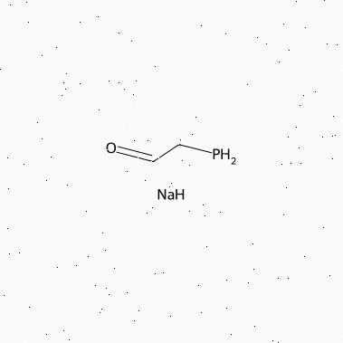 O=CCP.[NaH]